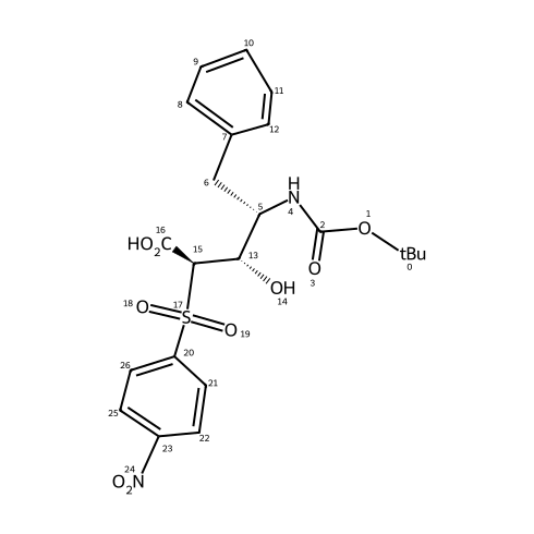 CC(C)(C)OC(=O)N[C@@H](Cc1ccccc1)[C@H](O)[C@H](C(=O)O)S(=O)(=O)c1ccc([N+](=O)[O-])cc1